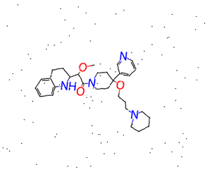 COC(C(=O)N1CCC(OCCCN2CCCCC2)(c2cccnc2)CC1)C1CCc2ccccc2N1